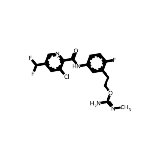 C/N=C(/N)OCCc1cc(NC(=O)c2ncc(C(F)F)cc2Cl)ccc1F